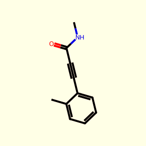 CNC(=O)C#Cc1ccccc1C